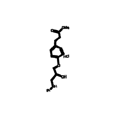 COC(=O)CCc1ccc(OCC(O)CNC(C)C)cc1.Cl